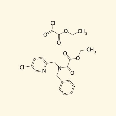 CCOC(=O)C(=O)Cl.CCOC(=O)C(=O)N(Cc1ccccc1)Cc1ccc(Cl)cn1